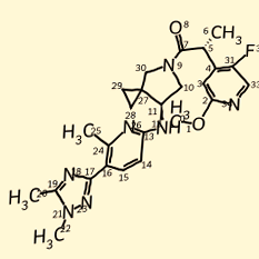 COc1cc([C@@H](C)C(=O)N2C[C@@H](Nc3ccc(-c4nc(C)n(C)n4)c(C)n3)C3(CC3)C2)c(F)cn1